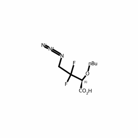 CCCCO[C@@H](C(=O)O)C(F)(F)CN=[N+]=[N-]